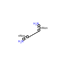 CCCCCCCCCC(c1ccc(CCCCCCCCCc2ccc(C(CCCCCCCCC)c3ccc(N)cc3C)cc2)cc1)c1ccc(N)cc1C